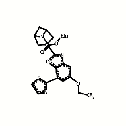 CC(C)(C)OC(=O)N1C2CC1CN(c1nc3cc(OCC(F)(F)F)cc(-c4nccs4)c3o1)C2